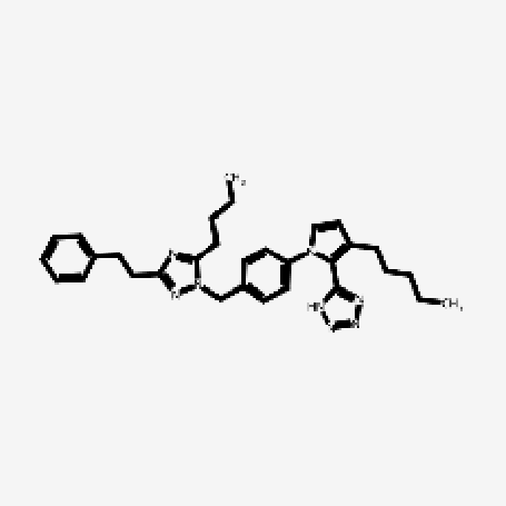 CCCCCc1ccn(-c2ccc(Cn3nc(CCc4ccccc4)nc3CCCC)cc2)c1-c1nnn[nH]1